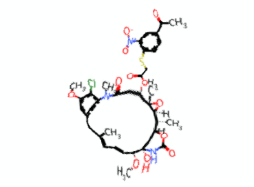 COc1cc2cc(c1Cl)N(C)C(=O)C[C@H](OC(=O)CSc1ccc(C(C)=O)cc1[N+](=O)[O-])[C@]1(C)O[C@H]1[C@H](C)[C@@H]1C[C@@](O)(NC(=O)O1)[C@H](OC)/C=C/C=C(\C)C2